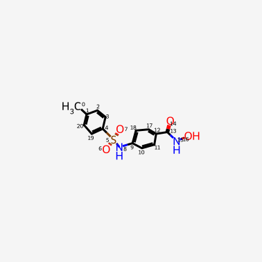 Cc1ccc(S(=O)(=O)Nc2ccc(C(=O)NO)cc2)cc1